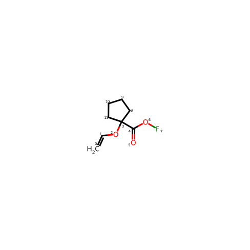 C=COC1(C(=O)OF)CCCC1